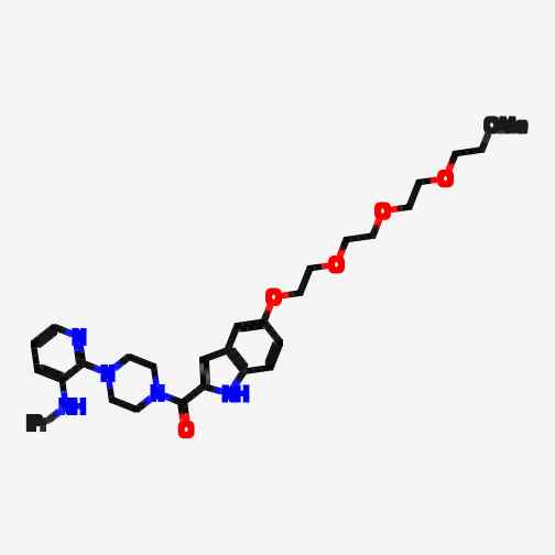 COCCOCCOCCOCCOc1ccc2[nH]c(C(=O)N3CCN(c4ncccc4NC(C)C)CC3)cc2c1